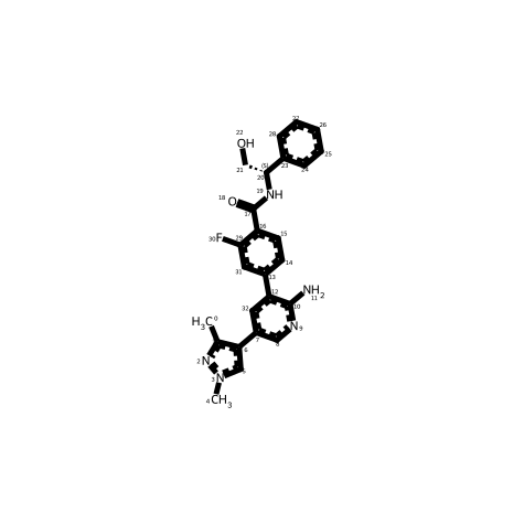 Cc1nn(C)cc1-c1cnc(N)c(-c2ccc(C(=O)N[C@H](CO)c3ccccc3)c(F)c2)c1